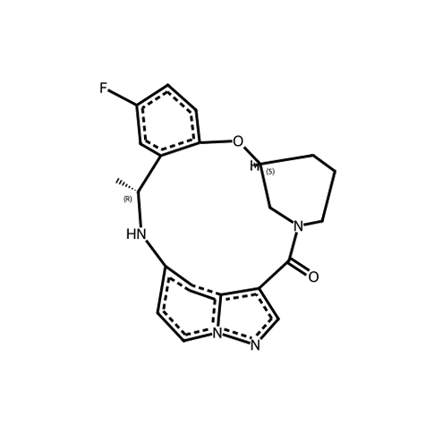 C[C@H]1Nc2ccn3ncc(c3c2)C(=O)N2CCC[C@@H](C2)Oc2ccc(F)cc21